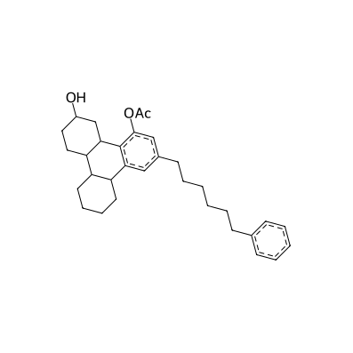 CC(=O)Oc1cc(CCCCCCc2ccccc2)cc2c1C1CC(O)CCC1C1CCCCC21